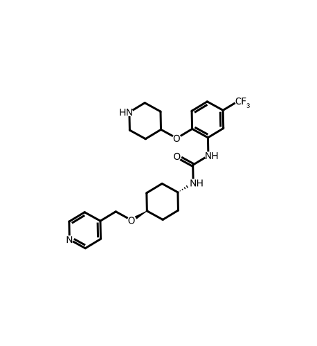 O=C(Nc1cc(C(F)(F)F)ccc1OC1CCNCC1)N[C@H]1CC[C@H](OCc2ccncc2)CC1